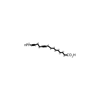 CCCC#CCCC#CCCCCCCCCC(=O)O